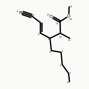 CCCCCC(/C=C/C#N)C(C)C(=O)OC